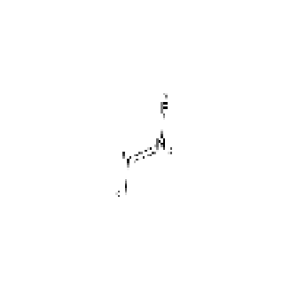 C/C=N/F